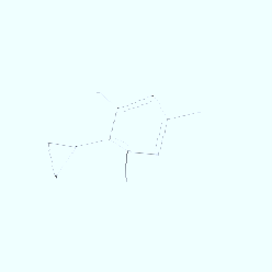 Cc1cc(I)c(C2CC2)c(I)c1